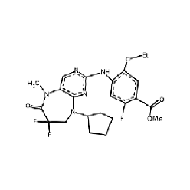 CCOc1cc(C(=O)OC)c(F)cc1Nc1ncc2c(n1)N(C1CCCC1)CC(F)(F)C(=O)N2C